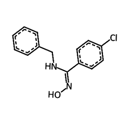 O/N=C(\NCc1ccccc1)c1ccc(Cl)cc1